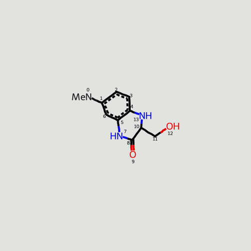 CNc1ccc2c(c1)NC(=O)C(CO)N2